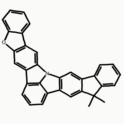 CC1(C)c2ccccc2-c2cc3c(cc21)c1cccc2c4cc5oc6ccccc6c5cc4n3c12